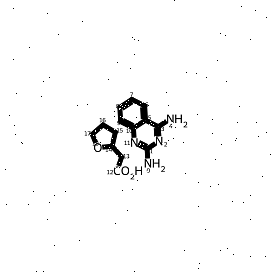 Nc1nc(N)c2ccccc2n1.O=C(O)CC1CCCO1